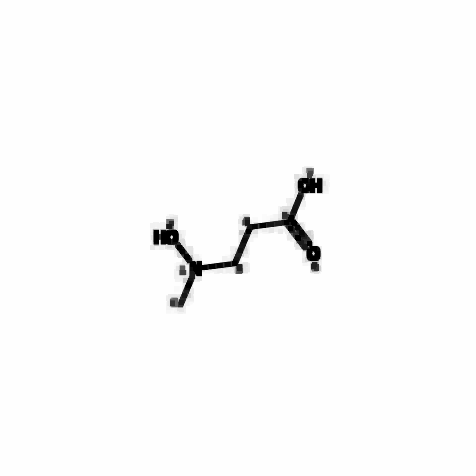 CN(O)CCC(=O)O